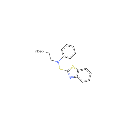 CCCCCCCCCCCCN(Sc1nc2ccccc2s1)c1ccccc1